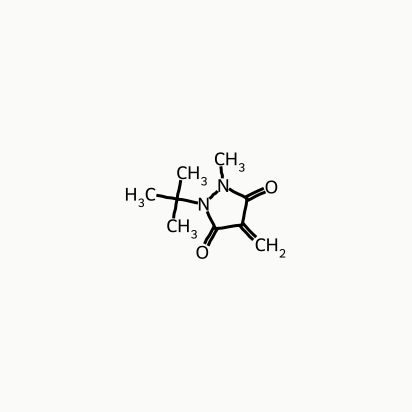 C=C1C(=O)N(C)N(C(C)(C)C)C1=O